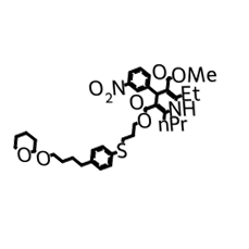 CCCC1=C(C(=O)OCCCSc2ccc(CCCCOC3CCCCO3)cc2)C(c2cccc([N+](=O)[O-])c2)C(C(=O)OC)=C(CC)N1